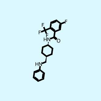 O=C(N[C@H]1CC[C@H](CNc2ccccc2)CC1)c1cc(F)ccc1C(F)(F)F